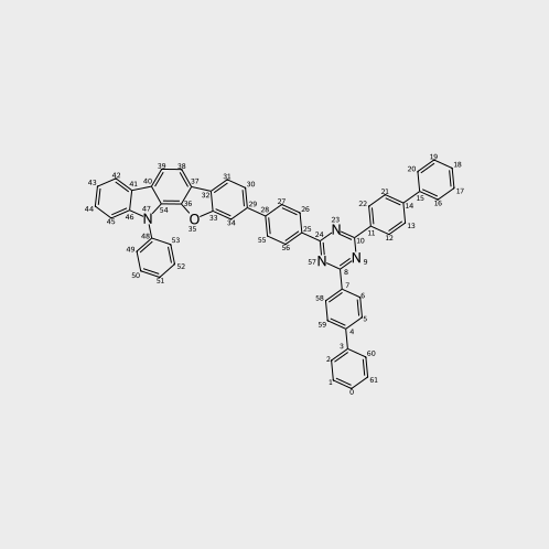 c1ccc(-c2ccc(-c3nc(-c4ccc(-c5ccccc5)cc4)nc(-c4ccc(-c5ccc6c(c5)oc5c6ccc6c7ccccc7n(-c7ccccc7)c65)cc4)n3)cc2)cc1